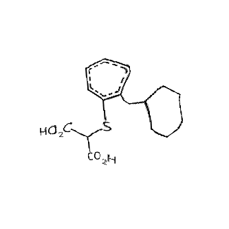 O=C(O)C(Sc1ccccc1C1CCCCC1)C(=O)O